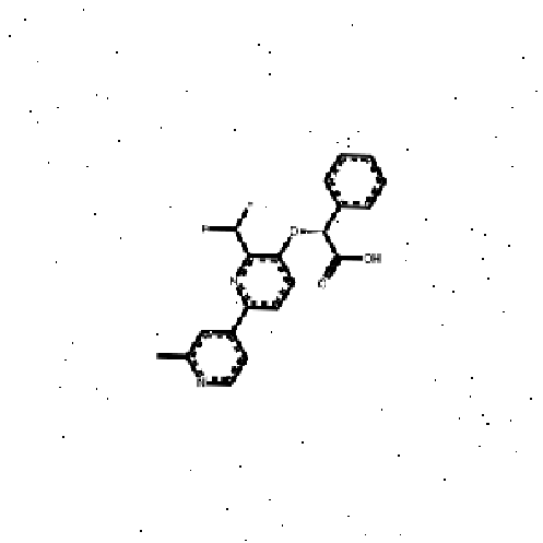 Cc1cc(-c2ccc(O[C@H](C(=O)O)c3ccccc3)c(C(F)F)n2)ccn1